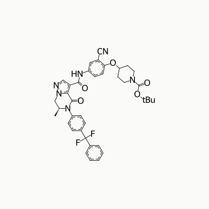 C[C@H]1Cn2ncc(C(=O)Nc3ccc(OC4CCN(C(=O)OC(C)(C)C)CC4)c(C#N)c3)c2C(=O)N1c1ccc(C(F)(F)c2ccccc2)cc1